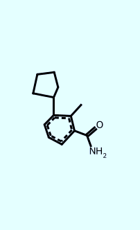 Cc1c(C(N)=O)cccc1C1CCCC1